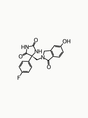 O=C1NC(=O)[C@@](CN2Cc3cc(O)ccc3C2=O)(c2ccc(F)cc2)N1